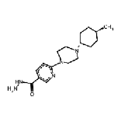 C[C@H]1CC[C@H](N2CCN(c3ccc(C(=O)NN)cn3)CC2)CC1